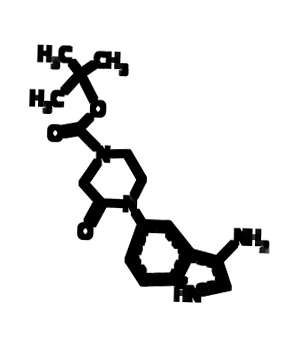 CC(C)(C)OC(=O)N1CCN(c2ccc3[nH]cc(N)c3c2)C(=O)C1